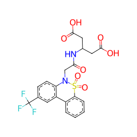 O=C(O)CC(CC(=O)O)NC(=O)CN1c2ccc(C(F)(F)F)cc2-c2ccccc2S1(=O)=O